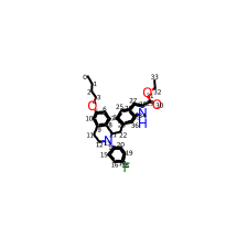 CCCCOc1ccc2c(c1)CCN(c1ccc(F)cc1)C2Cc1ccc2cc(C(=O)OCC)[nH]c2c1